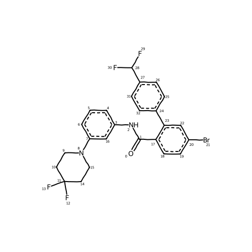 O=C(Nc1cccc(N2CCC(F)(F)CC2)c1)c1ccc(Br)cc1-c1ccc(C(F)F)cc1